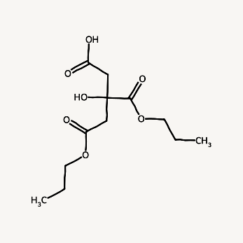 CCCOC(=O)CC(O)(CC(=O)O)C(=O)OCCC